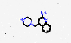 Nc1cc(CN2CCNCC2)c2ccccc2n1